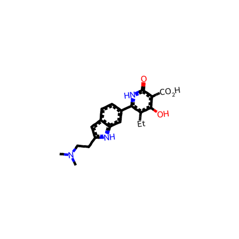 CCc1c(-c2ccc3cc(CCN(C)C)[nH]c3c2)[nH]c(=O)c(C(=O)O)c1O